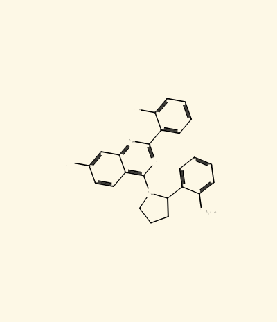 COc1ccccc1C1CCCN1c1nc(-c2ccccc2O)nc2cc(C)ccc12